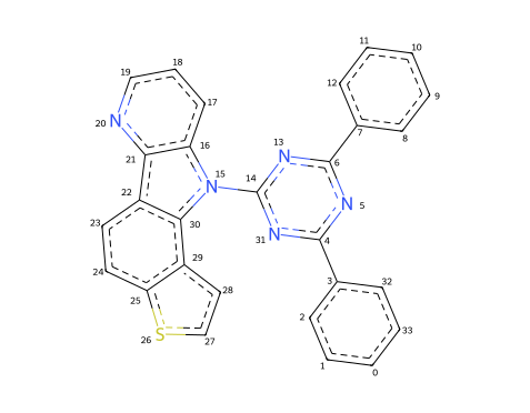 c1ccc(-c2nc(-c3ccccc3)nc(-n3c4cccnc4c4ccc5sccc5c43)n2)cc1